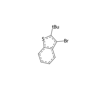 CC(C)(C)c1sc2ccccc2c1Br